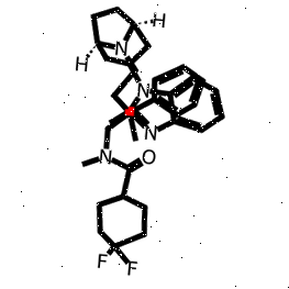 Cc1nc2ccccc2n1C1C[C@H]2CC[C@@H](C1)N2CCC(C)(CN(C)C(=O)C1CCC(F)(F)CC1)c1ccccc1